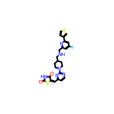 O=C1NC(=O)/C(=C\c2ccnc(N3CCC(CNCc4cc(F)cc(-c5ccsc5)n4)CC3)n2)S1